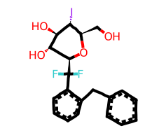 OC[C@H]1O[C@@H](C(F)(F)c2ccccc2Cc2ccccc2)[C@H](O)[C@@H](O)[C@@H]1I